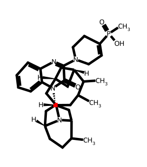 CC1CC[C@@H]2C[C@H](n3c(=O)c(N4CC=C(P(C)(=O)O)CC4)nc4ccccc43)CC1N2[C@H]1CC(C)C(C)[C@H]2C[C@@H](C1)C2